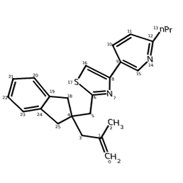 C=C(C)CC1(Cc2nc(-c3ccc(CCC)nc3)cs2)Cc2ccccc2C1